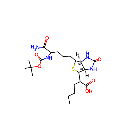 CCCCC(C(=O)O)C1SC(CCCC(NC(=O)OC(C)(C)C)C(N)=O)[C@H]2NC(=O)N[C@@H]12